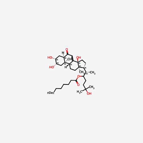 CCCCCCCCCCCCCCCC(=O)OC(CCC(C)(C)O)[C@@H](C)[C@H]1CC[C@@]2(O)C3=CC(=O)[C@@H]4C[C@@H](O)[C@@H](O)C[C@]4(C)[C@H]3CC[C@]12C